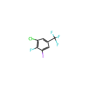 Fc1c(Cl)cc(C(F)(F)F)cc1I